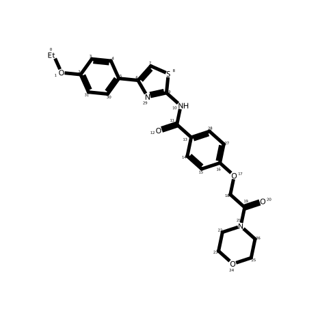 CCOc1ccc(-c2csc(NC(=O)c3ccc(OCC(=O)N4CCOCC4)cc3)n2)cc1